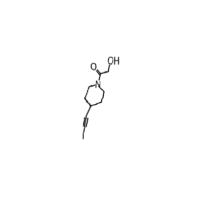 O=C(CO)N1CCC(C#CI)CC1